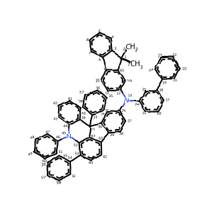 CC1(C)c2ccccc2-c2ccc(N(c3cccc(-c4ccccc4)c3)c3ccc4c(c3)C3(c5ccccc5)c5ccccc5N(c5ccccc5)c5c(-c6ccccc6)ccc-4c53)cc21